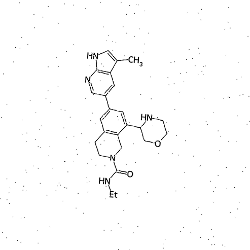 CCNC(=O)N1CCc2cc(-c3cnc4[nH]cc(C)c4c3)cc(C3COCCN3)c2C1